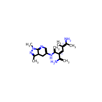 C=C(N)/C(=C/C(C)=C(\C)N)C(=C)NC1=CN=C2C(C1)C(C)=NN2C